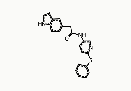 O=C(Cc1ccc2[nH]ccc2c1)Nc1ccc(Sc2ccccc2)nc1